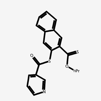 CCCOC(=S)c1cc2ccccc2cc1SC(=O)c1cccnc1